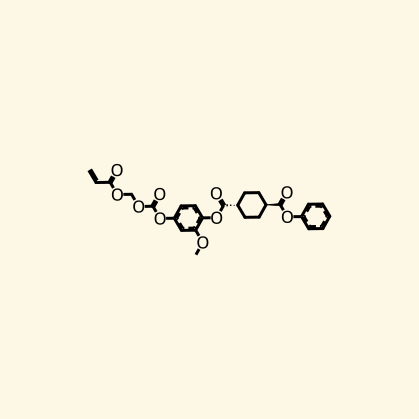 C=CC(=O)OCOC(=O)Oc1ccc(OC(=O)[C@H]2CC[C@H](C(=O)Oc3ccccc3)CC2)c(OC)c1